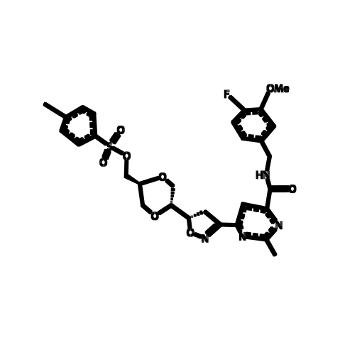 COc1cc(CNC(=O)c2cc(C3=NO[C@H]([C@H]4CO[C@H](COS(=O)(=O)c5ccc(C)cc5)CO4)C3)nc(C)n2)ccc1F